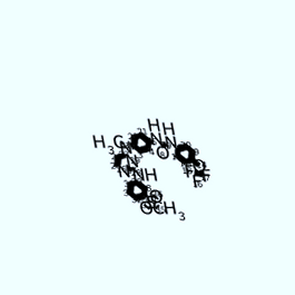 CN(c1ccc(NC(=O)Nc2ccc(OC(F)(F)F)cc2)cc1)c1ccnc(Nc2cccc(S(C)(=O)=O)c2)n1